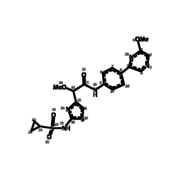 COc1cncc(-c2ccc(NC(=O)C(OC)c3csc(NS(=O)(=O)C4CC4)n3)cc2)n1